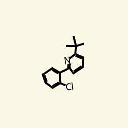 CC(C)(C)c1cccc(-c2ccccc2Cl)n1